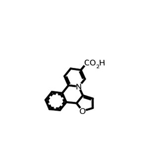 O=C(O)C1=CN2C(=CC1)c1ccccc1C1OCC=C12